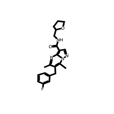 Cc1nc2c(C(=O)NCC3CCCO3)cnn2c(C)c1Cc1cccc(F)c1